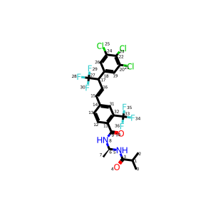 CC(C)C(=O)N[C@@H](C)NC(=O)c1ccc(/C=C/C(c2cc(Cl)c(Cl)c(Cl)c2)C(F)(F)F)cc1C(F)(F)F